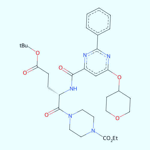 CCOC(=O)N1CCN(C(=O)[C@H](CCC(=O)OC(C)(C)C)NC(=O)c2cc(OC3CCOCC3)nc(-c3ccccc3)n2)CC1